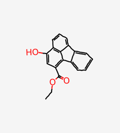 CCOC(=O)c1cc(O)c2cccc3c2c1-c1ccccc1-3